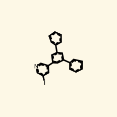 Ic1cncc(-c2cc(-c3ccccc3)cc(-c3ccccc3)c2)c1